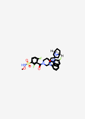 CONS(=O)(=O)c1ccc(F)c(C(=O)N2CCC(CCN3[C@@H]4CC[C@H]3CC(n3c(C)nc5ccccc53)C4)(c3cccc(F)c3)CC2)c1F